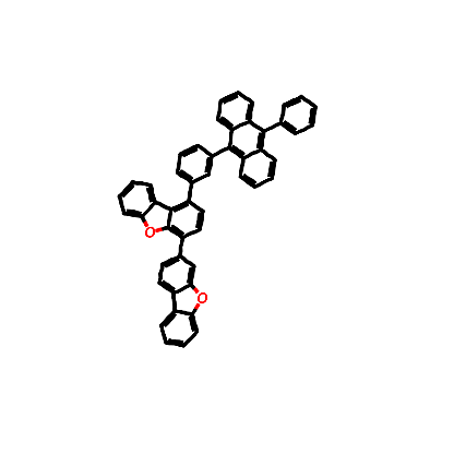 c1ccc(-c2c3ccccc3c(-c3cccc(-c4ccc(-c5ccc6c(c5)oc5ccccc56)c5oc6ccccc6c45)c3)c3ccccc23)cc1